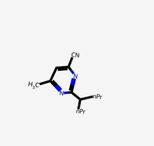 CCCC(CCC)c1nc(C)cc(C#N)n1